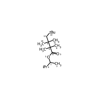 CC(C)C(C)OC(=O)C(C)(C)C(C)(C)CC(C)(C)C